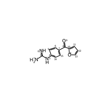 N=C(N)Nc1c[c]c(C(=O)c2ccco2)cc1